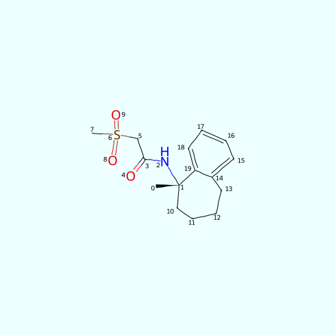 C[C@]1(NC(=O)CS(C)(=O)=O)CCCCc2ccccc21